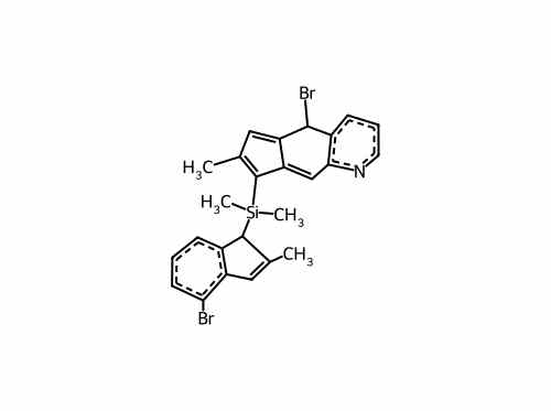 CC1=Cc2c(Br)cccc2C1[Si](C)(C)C1=C(C)C=C2C1=Cc1ncccc1C2Br